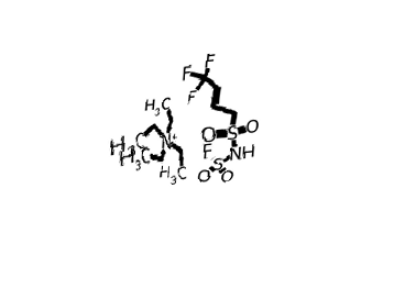 CC[N+](CC)(CC)CC.O=S(=O)(F)NS(=O)(=O)CC=CC(F)(F)F